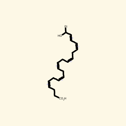 CCC(O)/C=C/C=C\C/C=C\C/C=C\C/C=C\C/C=C\CCC(=O)O